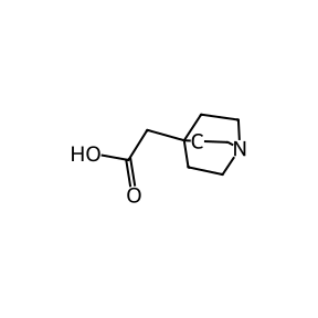 O=C(O)CC12CCN(CC1)CC2